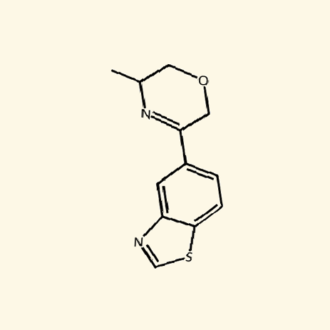 CC1COCC(c2ccc3scnc3c2)=N1